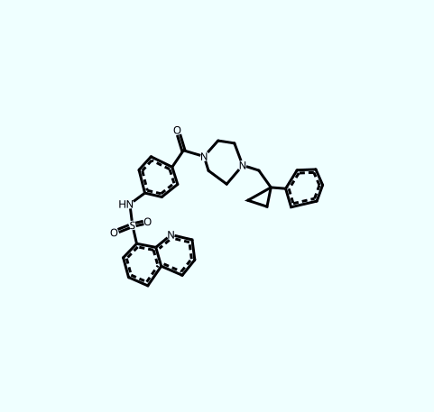 O=C(c1ccc(NS(=O)(=O)c2cccc3cccnc23)cc1)N1CCN(CC2(c3ccccc3)CC2)CC1